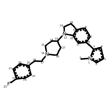 Cn1cccc1-c1ccc2c(c1)N(C1CCN(CCc3ccc(F)cc3)CC1)CC2